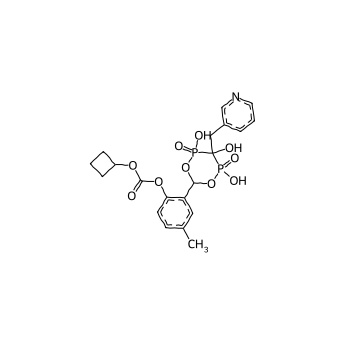 Cc1ccc(OC(=O)OC2CCC2)c(C2OP(=O)(O)C(O)(Cc3cccnc3)P(=O)(O)O2)c1